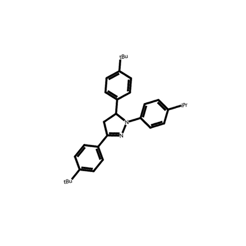 CC(C)c1ccc(N2N=C(c3ccc(C(C)(C)C)cc3)CC2c2ccc(C(C)(C)C)cc2)cc1